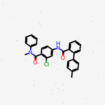 Cc1ccc(-c2ccccc2C(=O)Nc2ccc(C(=O)N(C)c3ccccc3)c(Cl)c2)cc1